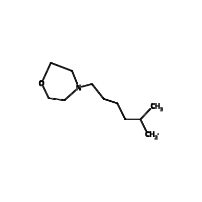 [CH2]C(C)CCCCN1CCOCC1